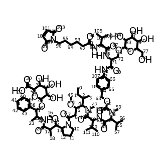 CCC(C)C(C(CC(=O)N1CCCC1C(OC)C(C)C(=O)NC(C)C(OC1OC(C(=O)O)C(O)C(O)C1O)c1ccccc1)OC)N(C)C(=O)C(NC(=O)C(C(C)C)N(C)C(=O)OCc1ccc(NC(=O)C(COC2OC(CO)C(O)C(O)C2O)NC(=O)C(NC(=O)CCCCCN2C(=O)C=CC2=O)C(C)C)cc1)C(C)C